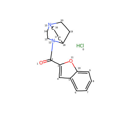 Cl.O=C(c1cc2ccccc2o1)N1CCN2CCC1CC2